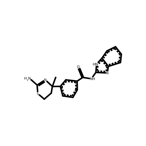 CC1(c2cccc(C(=O)Nc3nc4ccccc4[nH]3)c2)CCSC(N)=N1